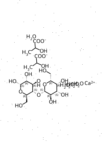 CC(O)C(=O)[O-].CC(O)C(=O)[O-].O.O.O.O.O.OC[C@H]1O[C@@H](O[C@H]2[C@H](O)[C@@H](O)[C@@H](O)O[C@@H]2CO)[C@H](O)[C@@H](O)[C@H]1O.[Ca+2]